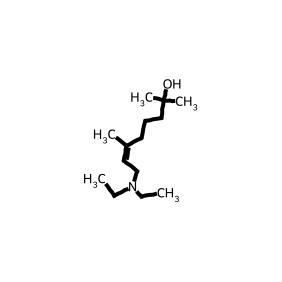 CCN(CC)CC=C(C)CCCC(C)(C)O